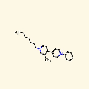 CCCCCCC[n+]1ccc(-c2cc[n+](-c3ccccc3)cc2)c(C)c1